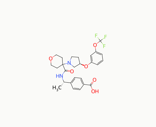 C[C@H](NC(=O)C1(N2CC[C@@H](Oc3cccc(OC(F)(F)F)c3)C2)CCOCC1)c1ccc(C(=O)O)cc1